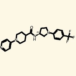 O=C(N[C@H]1CCN(c2ccc(C(F)(F)F)cc2)C1)C1CCN(c2ccncc2)CC1